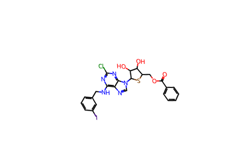 O=C(OCC1SC(n2cnc3c(NCc4cccc(I)c4)nc(Cl)nc32)C(O)C1O)c1ccccc1